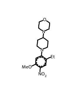 CCc1cc([N+](=O)[O-])c(OC)cc1N1CCC(N2CCOCC2)CC1